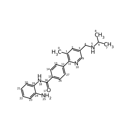 Cc1cc(CNC(C)C)cnc1-c1ccc(C(=O)Nc2ccccc2N)cc1